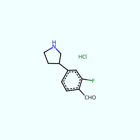 Cl.O=Cc1ccc(C2CCNC2)cc1F